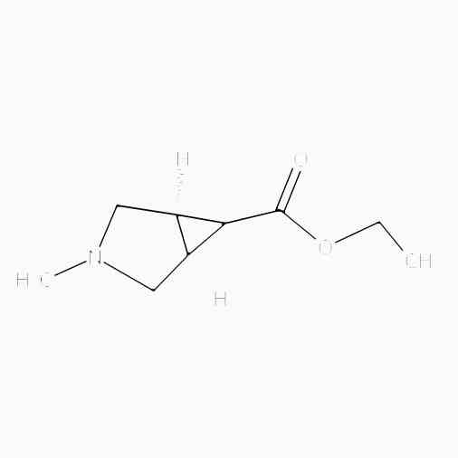 CCOC(=O)C1[C@H]2CN(C)C[C@@H]12